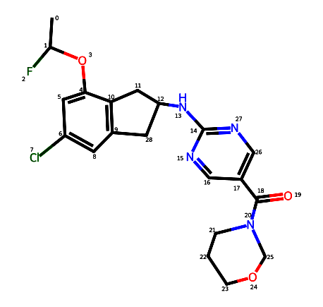 CC(F)Oc1cc(Cl)cc2c1CC(Nc1ncc(C(=O)N3CCCOC3)cn1)C2